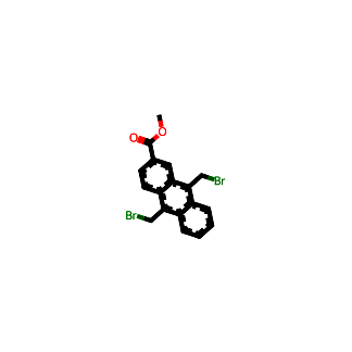 COC(=O)c1ccc2c(CBr)c3ccccc3c(CBr)c2c1